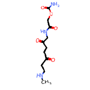 CNCCC(=O)CCC(=O)CNC(=O)COC(N)=O